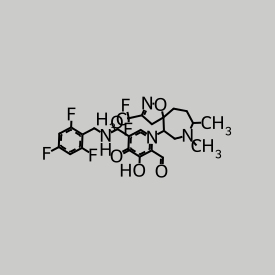 CC1CCC2(CC(C(C)(F)F)=NO2)C(n2cc(C(=O)NCc3c(F)cc(F)cc3F)c(=O)c(O)c2C=O)CN1C